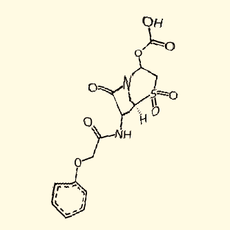 O=C(COc1ccccc1)NC1C(=O)N2C(OC(=O)O)CS(=O)(=O)[C@@H]12